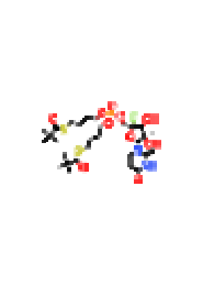 C=C1NC(=O)C=CN1[C@@H]1O[C@](F)(COP(=O)(OCCCCSC(=O)C(C)(C)C)OCCCCSC(=O)C(C)(C)C)[C@@H](O)[C@@]1(C)O